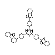 c1ccc2oc(-c3ccc(-c4nc(-c5ccc(-c6nc7ccccc7o6)cc5)nc(-c5ccc(-c6cccc7c6oc6ccccc67)cc5)n4)cc3)nc2c1